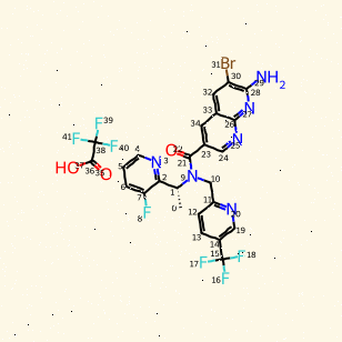 C[C@H](c1ncccc1F)N(Cc1ccc(C(F)(F)F)cn1)C(=O)c1cnc2nc(N)c(Br)cc2c1.O=C(O)C(F)(F)F